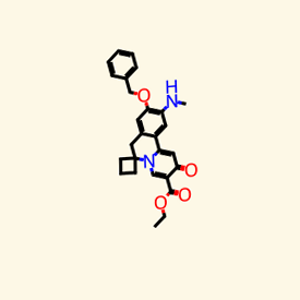 CCOC(=O)c1cn2c(cc1=O)-c1cc(NC)c(OCc3ccccc3)cc1CC21CCC1